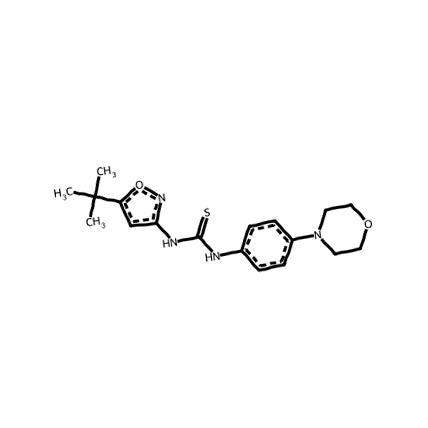 CC(C)(C)c1cc(NC(=S)Nc2ccc(N3CCOCC3)cc2)no1